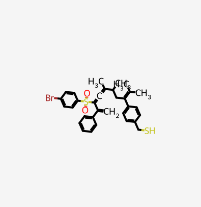 C=C(C(=C=C(C)C(C)CC(=C(C)C)c1ccc(CS)cc1)S(=O)(=O)c1ccc(Br)cc1)c1ccccc1